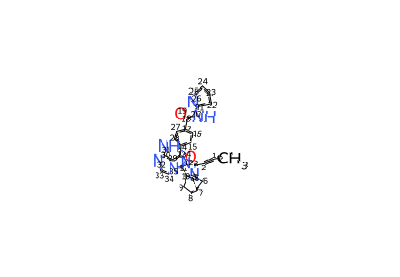 CC#CC(=O)N1CC2CCC1(c1nc(-c3ccc(C(=O)Nc4ccccn4)cc3)c3c(N)nccn13)C2